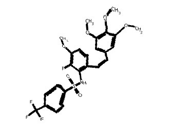 COc1ccc(/C=C\c2cc(OC)c(OC)c(OC)c2)c(NS(=O)(=O)c2ccc(C(F)(F)F)cc2)c1F